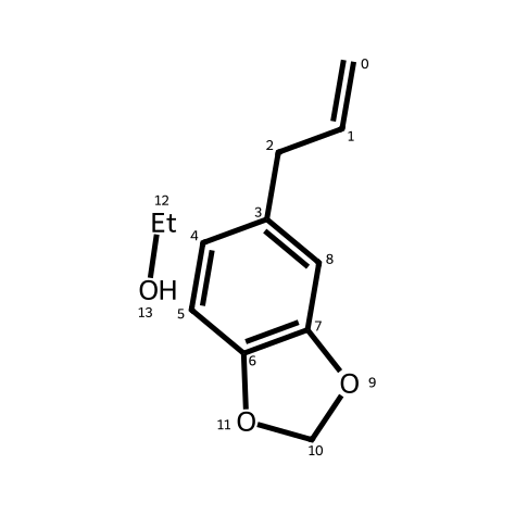 C=CCc1ccc2c(c1)OCO2.CCO